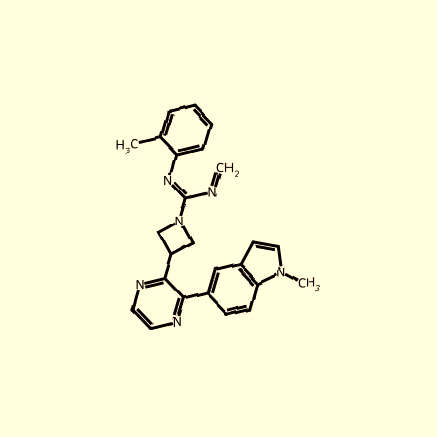 C=N/C(=N\c1ccccc1C)N1CC(c2nccnc2-c2ccc3c(ccn3C)c2)C1